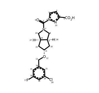 O=C(O)c1ccn(C(=O)N2C[C@H]3C[C@H](OCc4cc(F)cc(Cl)c4)C[C@H]3C2)n1